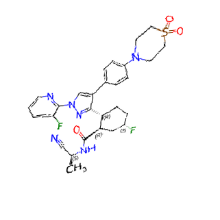 C[C@@H](C#N)NC(=O)[C@@H]1C[C@@H](F)CC[C@H]1c1nn(-c2ncccc2F)cc1-c1ccc(N2CCS(=O)(=O)CC2)cc1